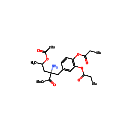 CCCCC(=O)OC(C)C[C@@](N)(Cc1ccc(OC(=O)CC(C)(C)C)c(OC(=O)CC(C)(C)C)c1)C(=O)OC